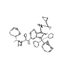 CC(NC(=O)Nc1cc2c(cn1)c(NC(=O)C1CC1)nn2C(c1ccccc1)(c1ccccc1)c1ccccc1)c1ccccc1